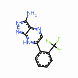 Nc1nnc2[nH]c(-c3ccccc3C(F)(F)F)cnc1-2